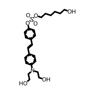 O=S(=O)(OCCCCCCO)Oc1ccc(C=Cc2ccc(N(CCO)CCO)cc2)cc1